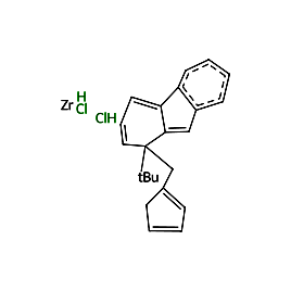 CC(C)(C)C1(CC2=CC=CC2)C=CC=C2C1=Cc1ccccc12.Cl.Cl.[Zr]